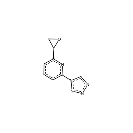 c1cc([C@H]2CO2)nc(-n2cnnn2)c1